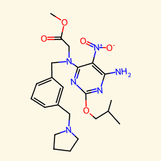 COC(=O)CN(Cc1cccc(CN2CCCC2)c1)c1nc(OCC(C)C)nc(N)c1[N+](=O)[O-]